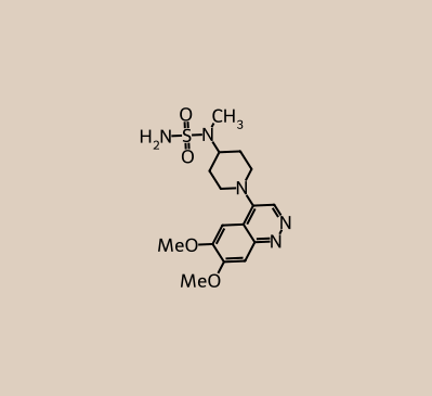 COc1cc2nncc(N3CCC(N(C)S(N)(=O)=O)CC3)c2cc1OC